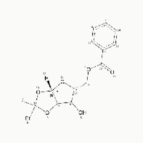 CCC1(C)OC2C(O)[C@@H](COC(=O)c3ccccc3)O[C@H]2O1